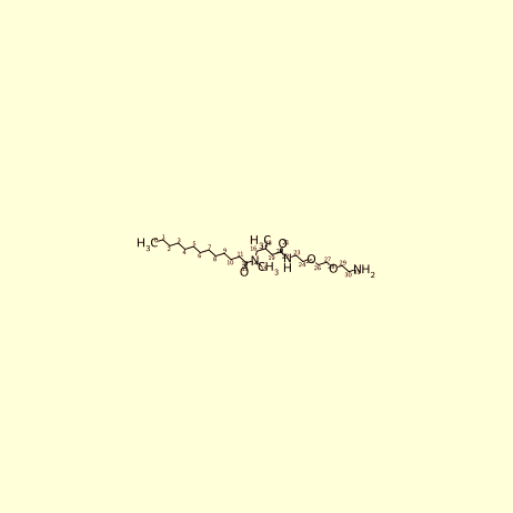 CCCCCCCCCCCCC(=O)N(C)CC(C)CC(=O)NCCOCCOCCN